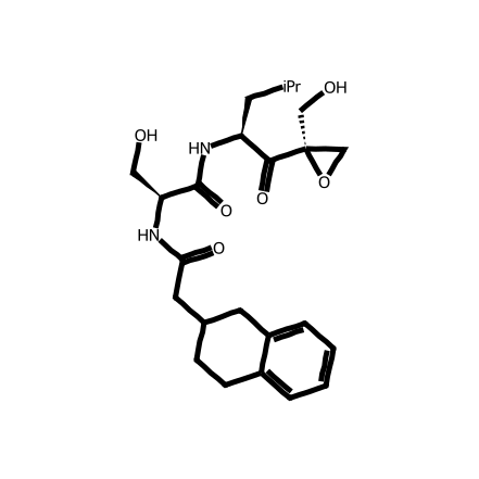 CC(C)C[C@H](NC(=O)[C@H](CO)NC(=O)CC1CCc2ccccc2C1)C(=O)[C@@]1(CO)CO1